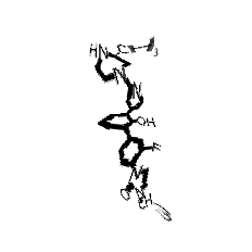 C[C@@H]1CN(c2cc(-c3cccc(-c4ccc(N5CCN(C)C5=O)c(F)c4)c3O)ccn2)CCN1